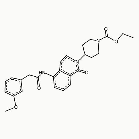 CCOC(=O)N1CCC(n2ccc3c(NC(=O)Cc4cccc(OC)c4)cccc3c2=O)CC1